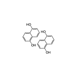 Oc1cccc2c(O)cccc12.Oc1cccc2c(O)cccc12